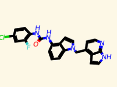 O=C(Nc1ccc(Cl)cc1F)Nc1cccc2c1ccn2Cc1ccnc2[nH]ccc12